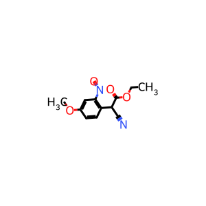 CCOC(=O)C(C#N)c1ccc(OC)cc1N=O